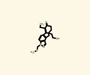 CCC1=C2c3ccc4c(cnn4COC)c3CC2(CCO)CCC1=O